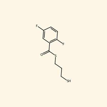 O=C(SCCCS)c1cc(F)ccc1F